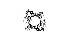 CC(C)C[C@H]1C(=O)O[C@H](Cc2ccc([C@H](F)c3nccs3)cc2)C(=O)N(C)[C@@H](CC(C)C)C(=O)O[C@H](C)C(=O)N(C)[C@@H](CC(C)C)C(=O)O[C@H](Cc2ccc([C@@H](F)c3nccs3)cc2)C(=O)N(C)[C@@H](CC(C)C)C(=O)O[C@H](C)C(=O)N1C